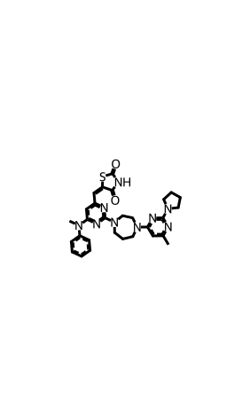 Cc1cc(N2CCCN(c3nc(C=C4SC(=O)NC4=O)cc(N(C)c4ccccc4)n3)CC2)nc(N2CCCC2)n1